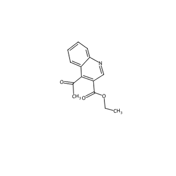 CCOC(=O)c1cnc2ccccc2c1C(C)=O